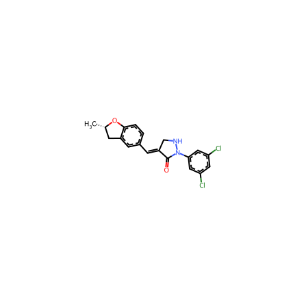 C[C@H]1Cc2cc(/C=C3\CNN(c4cc(Cl)cc(Cl)c4)C3=O)ccc2O1